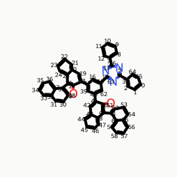 c1ccc(-c2nc(-c3ccccc3)nc(-c3cc(-c4cc5ccccc5c5c4oc4ccc6ccccc6c45)cc(-c4cc5ccccc5c5c4oc4ccc6ccccc6c45)c3)n2)cc1